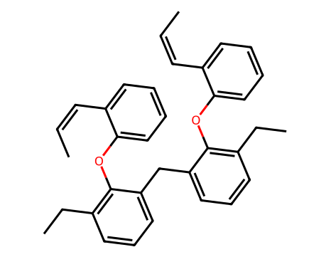 C/C=C\c1ccccc1Oc1c(CC)cccc1Cc1cccc(CC)c1Oc1ccccc1/C=C\C